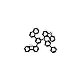 c1ccc(-c2ccc(N(c3cc(-c4cccc5ccccc45)cc(-c4cccc5c4sc4ccccc45)c3)c3cccc4sc5ccccc5c34)cc2)cc1